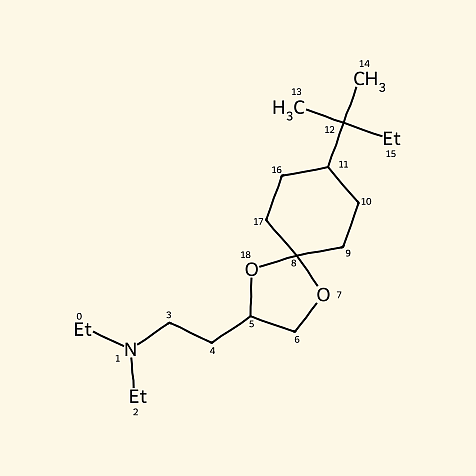 CCN(CC)CCC1COC2(CCC(C(C)(C)CC)CC2)O1